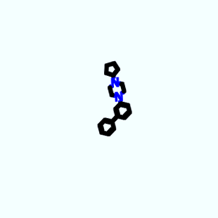 c1ccc(-c2cccc(N3CCN(C4CCCC4)CC3)c2)cc1